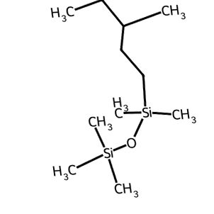 CCC(C)CC[Si](C)(C)O[Si](C)(C)C